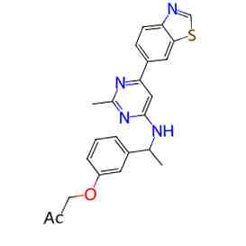 CC(=O)COc1cccc(C(C)Nc2cc(-c3ccc4ncsc4c3)nc(C)n2)c1